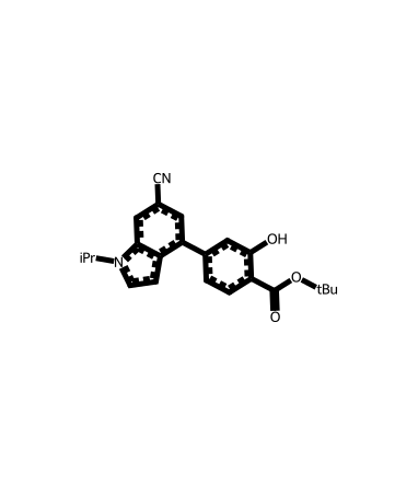 CC(C)n1ccc2c(-c3ccc(C(=O)OC(C)(C)C)c(O)c3)cc(C#N)cc21